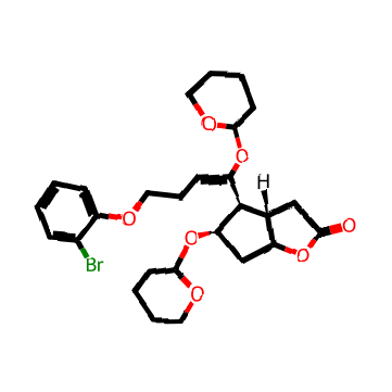 O=C1C[C@@H]2C(C[C@@H](OC3CCCCO3)[C@H]2/C(=C\CCOc2ccccc2Br)OC2CCCCO2)O1